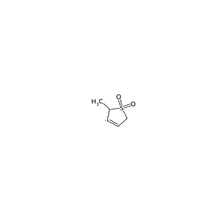 CC1[C]=CCS1(=O)=O